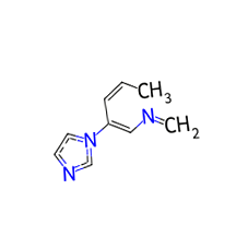 C=N/C=C(\C=C/C)n1ccnc1